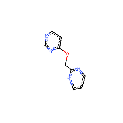 [c]1nccc(OCc2ncccn2)n1